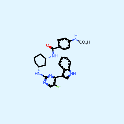 O=C(O)Nc1ccc(C(=O)N[C@H]2CCC[C@@H](Nc3ncc(F)c(-c4c[nH]c5ccccc45)n3)C2)cc1